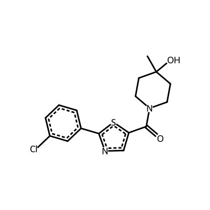 CC1(O)CCN(C(=O)c2cnc(-c3cccc(Cl)c3)s2)CC1